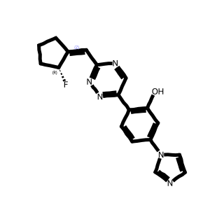 Oc1cc(-n2ccnc2)ccc1-c1cnc(/C=C2/CCC[C@H]2F)nn1